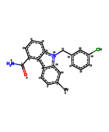 CC(C)c1c[c]c2c3c(C(N)=O)cccc3n(Cc3cccc(Cl)c3)c2c1